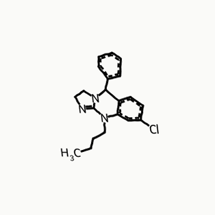 CCCCN1C2=NCCN2C(c2ccccc2)c2ccc(Cl)cc21